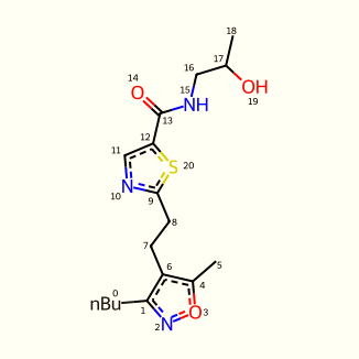 CCCCc1noc(C)c1CCc1ncc(C(=O)NCC(C)O)s1